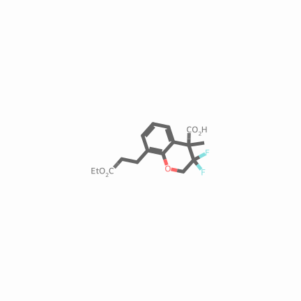 CCOC(=O)CCc1cccc2c1OCC(F)(F)C2(C)C(=O)O